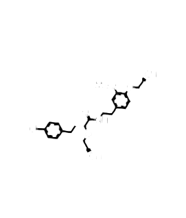 C#CCOc1ccc(CCNC(=O)[C@@H](CCc2ccc(Cl)cc2)OCC#C)cc1OC